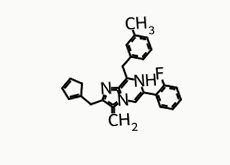 C=c1c(CC2=CC=CC2)nc2n1C=C(c1ccccc1F)NC=2Cc1cccc(C)c1